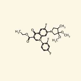 CCOC(=O)c1cn(-c2ccc(F)cc2F)c2cc(N3CC(C)C(OC)(OC)C3)c(F)cc2c1=O